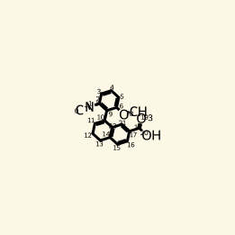 [C-]#[N+]c1cccc(OC)c1C1=CCCc2ccc(C(=O)O)cc21